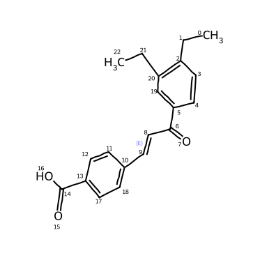 CCc1ccc(C(=O)/C=C/c2ccc(C(=O)O)cc2)cc1CC